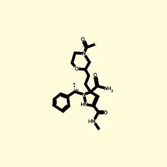 CNC(=O)C1=CC(CCC2CN(C(C)=O)CCO2)(C(N)=O)N([C@@H](C)c2ccccc2)N1